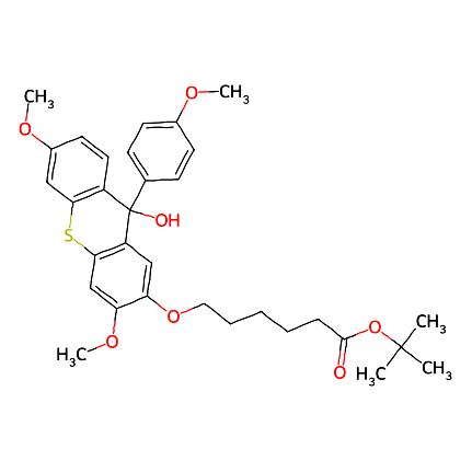 COc1ccc(C2(O)c3ccc(OC)cc3Sc3cc(OC)c(OCCCCCC(=O)OC(C)(C)C)cc32)cc1